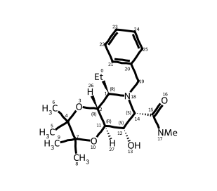 CC[C@@H]1[C@H]2OC(C)(C)C(C)(C)O[C@@H]2[C@@H](O)[C@@H](C(=O)NC)N1Cc1ccccc1